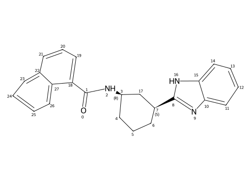 O=C(N[C@@H]1CCC[C@H](c2nc3ccccc3[nH]2)C1)c1cccc2ccccc12